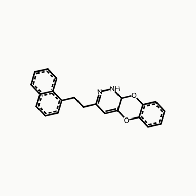 C1=C2Oc3ccccc3OC2NN=C1CCc1cccc2ccccc12